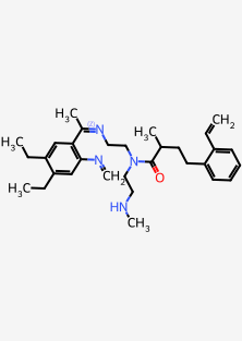 C=Cc1ccccc1CCC(C)C(=O)N(CC/N=C(/C)c1cc(CC)c(CC)cc1N=C)CCNC